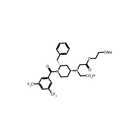 COCCOC(=O)CN(CC(=O)O)[C@H]1CCN(C(=O)c2cc(C(F)(F)F)cc(C(F)(F)F)c2)[C@H](Cc2ccccc2)C1